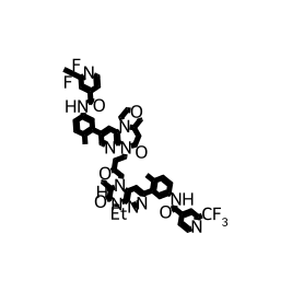 CCN1C(=O)[C@@H]2COC(CCN3C(=O)CC4COCCN4c4cc(-c5cc(NC(=O)c6ccnc(C(C)(F)F)c6)ccc5C)cnc43)CN2c2cc(-c3cc(NC(=O)c4ccnc(C(F)(F)F)c4)ccc3C)nnc21